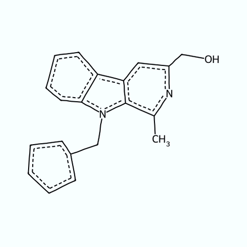 Cc1nc(CO)cc2c3ccccc3n(Cc3ccccc3)c12